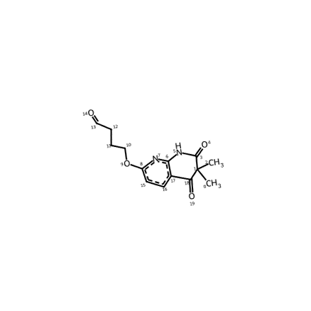 CC1(C)C(=O)Nc2nc(OCCCC=O)ccc2C1=O